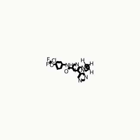 N[C@]12[C@H]3[C@@H]1CN(c1ncc(C(=O)Nc4ccc(OC(F)(F)Cl)cc4)cc1-c1cncnc1)[C@H]32